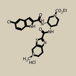 CCOC(=O)N1CC[C@H](NC(=O)c2nc3c(s2)CN(C)CC3)[C@H](NC(=O)c2cc3cc(Cl)ccc3[nH]2)C1.Cl